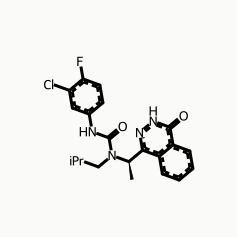 CC(C)CN(C(=O)Nc1ccc(F)c(Cl)c1)[C@H](C)c1n[nH]c(=O)c2ccccc12